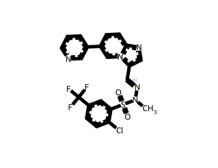 CN(/N=C/c1cnc2ccc(-c3cccnc3)cn12)S(=O)(=O)c1cc(C(F)(F)F)ccc1Cl